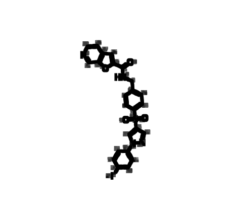 O=C(NCc1ccc(S(=O)(=O)c2cnn(-c3ccc(F)cc3)c2)cc1)c1cc2ccncc2o1